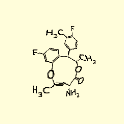 C/C1=C\[C@H](N)C(=O)O[C@@H](C)[C@H](c2ccc(F)c(C)c2)c2ccc(F)cc2O1